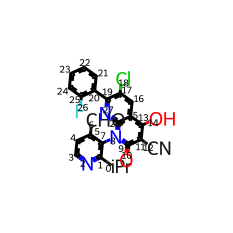 CC(C)c1nccc(C=O)c1-n1c(=O)c(C#N)c(O)c2cc(Cl)c(-c3ccccc3F)nc21